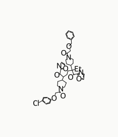 CCC(CCC(C(=O)c1ncco1)C1CCN(C(=O)COc2ccc(Cl)cc2)CC1)(C(=O)c1ncco1)C1CCN(C(=O)COCc2ccccc2)CC1